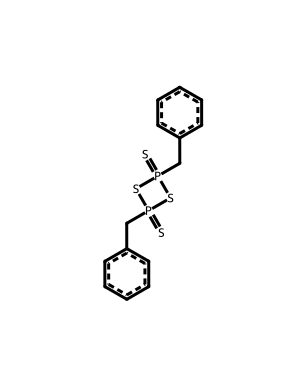 S=P1(Cc2ccccc2)SP(=S)(Cc2ccccc2)S1